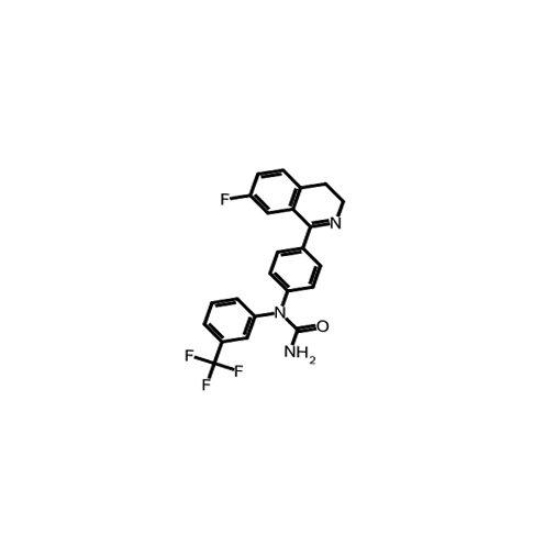 NC(=O)N(c1ccc(C2=NCCc3ccc(F)cc32)cc1)c1cccc(C(F)(F)F)c1